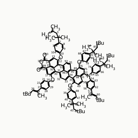 C=C(C)CC(C)(C)c1ccc(Oc2cc3c4c(cc(Oc5ccc(/C(C)=C/C(C)(C)C)cc5)c5c6ccc7c8c(Oc9ccc(C(C)(C)CC(C)(C)C)cc9)ccc9c(N(c%10ccc(/C(C)=C/C(C)(C)C)cc%10)c%10ccc(C(C)(C)CC(C)(C)C)cc%10)cc(Oc%10ccc(C(C)(C)CC(C)(C)C)cc%10)c(c%10ccc(c2c45)c6c7%10)c98)C(=O)OC3=O)cc1